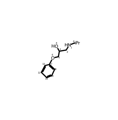 CC(C)NCC(O)COc1c[c]ccc1